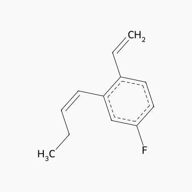 C=Cc1ccc(F)cc1/C=C\CC